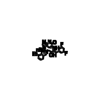 CCCCn1cncc1C[C@H](N[C@@H](Cc1cc(F)cc(F)c1)[C@H](O)CNCc1cccc(CC)c1)C(N)=O